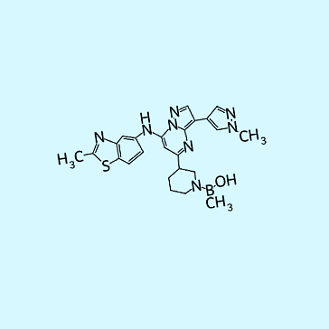 CB(O)N1CCCC(c2cc(Nc3ccc4sc(C)nc4c3)n3ncc(-c4cnn(C)c4)c3n2)C1